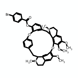 COc1cc2c3cc1Oc1c(OC)c(OC)cc4c1C(Cc1ccc(OC(=O)c5ccc(Br)cc5)c(c1)Oc1ccc(cc1)CC3N(C)CC2)N(C)CC4